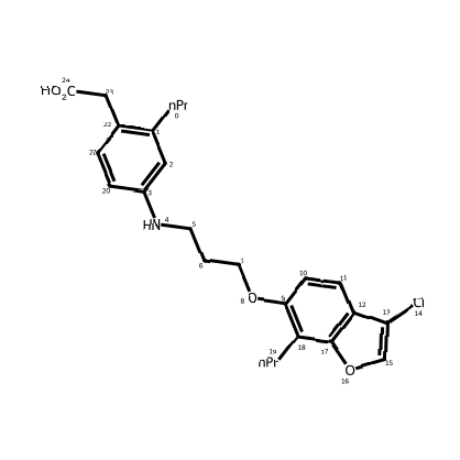 CCCc1cc(NCCCOc2ccc3c(Cl)coc3c2CCC)ccc1CC(=O)O